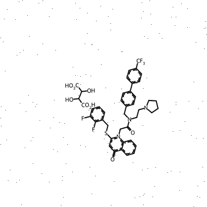 O=C(Cn1c(SCc2cccc(F)c2F)cc(=O)c2ccccc21)N(CCN1CCCC1)Cc1ccc(-c2ccc(C(F)(F)F)cc2)cc1.O=C(O)C(O)C(O)C(=O)O